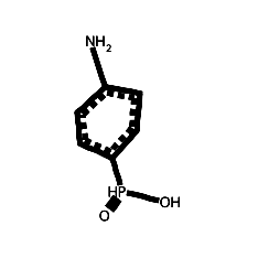 Nc1ccc([PH](=O)O)cc1